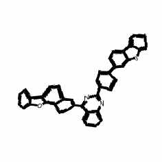 c1ccc2c(-c3ccc4c(ccc5c6ccccc6oc45)c3)nc(-c3ccc(-c4ccc5c(c4)sc4ccccc45)cc3)nc2c1